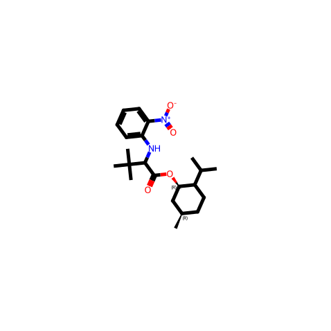 CC(C)C1CC[C@@H](C)C[C@H]1OC(=O)C(Nc1ccccc1[N+](=O)[O-])C(C)(C)C